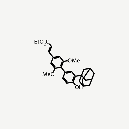 CCOC(=O)C=Cc1cc(OC)c(-c2ccc(O)c(C34CC5CC(CC(C5)C3)C4)c2)c(OC)c1